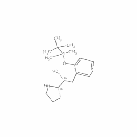 CC(C)(C)[Si](C)(C)Oc1ccccc1C[C@@H](O)[C@@H]1CCCN1